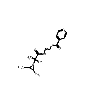 CC1C(C)N1C(C)(C)C(=O)NCCOC(=O)c1ccncc1